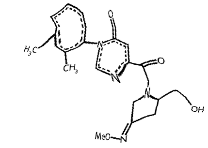 CO/N=C1/CC(CO)N(C(=O)c2cc(=O)n(-c3cccc(C)c3C)cn2)C1